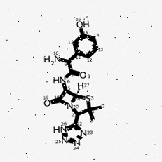 CC1(C)S[C@@H]2C(NC(=O)C(N)c3cccc(O)c3)C(=O)N2C1c1nnn[nH]1